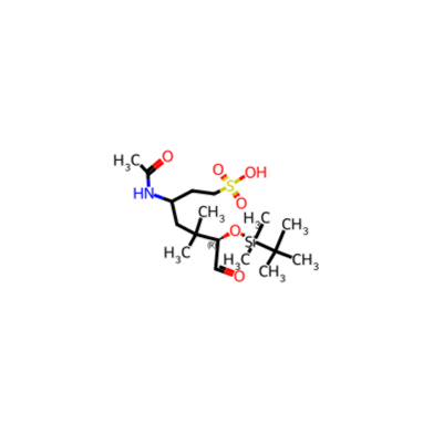 CC(=O)NC(CCS(=O)(=O)O)CC(C)(C)[C@H](C=O)O[Si](C)(C)C(C)(C)C